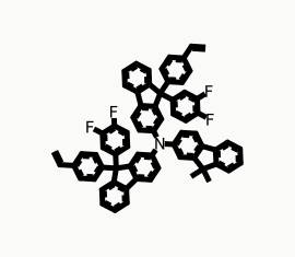 C=Cc1ccc(C2(c3ccc(F)c(F)c3)c3ccccc3-c3ccc(N(c4ccc5c(c4)C(C)(C)c4ccccc4-5)c4ccc5c(c4)C(c4ccc(C=C)cc4)(c4ccc(F)c(F)c4)c4ccccc4-5)cc32)cc1